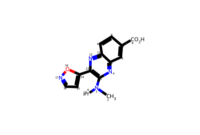 CC(C)N(C)c1nc2cc(C(=O)O)ccc2nc1-c1ccno1